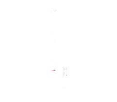 CCCCCCCCCCCC(=O)C1CCCCCN1